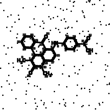 Cc1c2c3c(c(Nc4ccc(S(=O)O)cc4)ccc3n(C)c1=O)C(=O)c1ccccc1-2